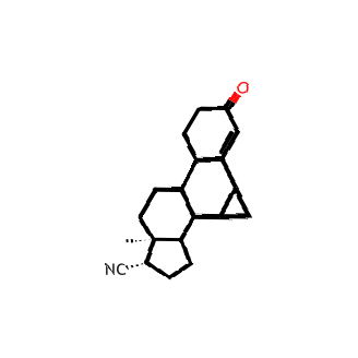 C[C@]12CCC3C4CCC(=O)C=C4C4CC4C3C1CC[C@@H]2C#N